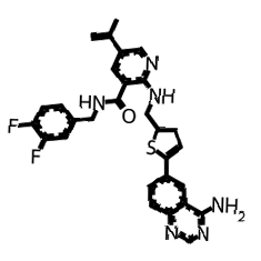 C=C(C)c1cnc(NCC2CC=C(c3ccc4ncnc(N)c4c3)S2)c(C(=O)NCc2ccc(F)c(F)c2)c1